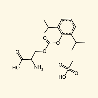 CC(C)c1cccc(C(C)C)c1OC(=O)OCC(N)C(=O)O.CS(=O)(=O)O